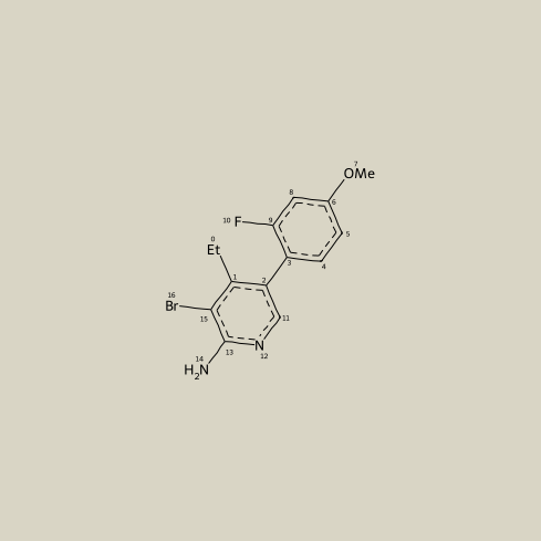 CCc1c(-c2ccc(OC)cc2F)cnc(N)c1Br